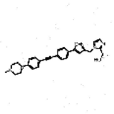 C[C@H](O)c1nccn1Cc1cc(-c2ccc(C#Cc3ccc(N4CCN(C)CC4)cc3)cc2)on1